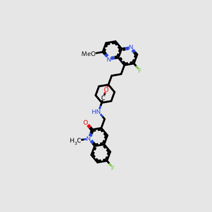 COc1ccc2ncc(F)c(CCC34CCC(NCc5cc6cc(F)ccc6n(C)c5=O)(CC3)CO4)c2n1